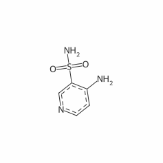 Nc1ccncc1S(N)(=O)=O